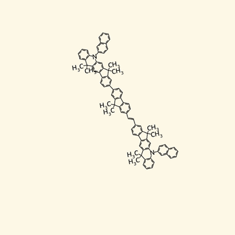 CC1(C)c2cc(/C=C/c3ccc4c(c3)C(C)(C)c3cc5c(cc3-4)C(C)(C)c3ccccc3N5c3ccc4ccccc4c3)ccc2-c2ccc(-c3ccc4c(c3)C(C)(C)c3cc5c(cc3-4)C(C)(C)c3ccccc3N5c3ccc4ccccc4c3)cc21